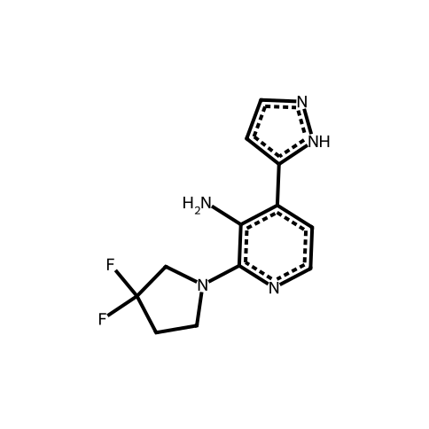 Nc1c(-c2ccn[nH]2)ccnc1N1CCC(F)(F)C1